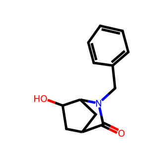 O=C1C2CC(O)C(C2)N1Cc1ccccc1